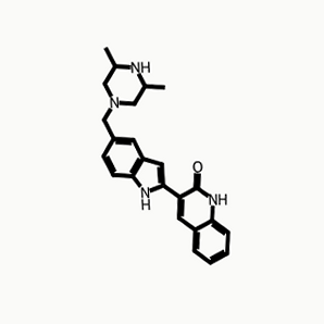 CC1CN(Cc2ccc3[nH]c(-c4cc5ccccc5[nH]c4=O)cc3c2)CC(C)N1